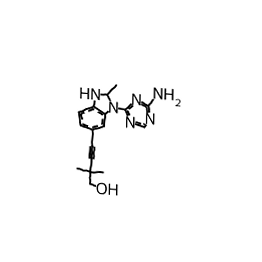 CC1Nc2ccc(C#CC(C)(C)CO)cc2N1c1ncnc(N)n1